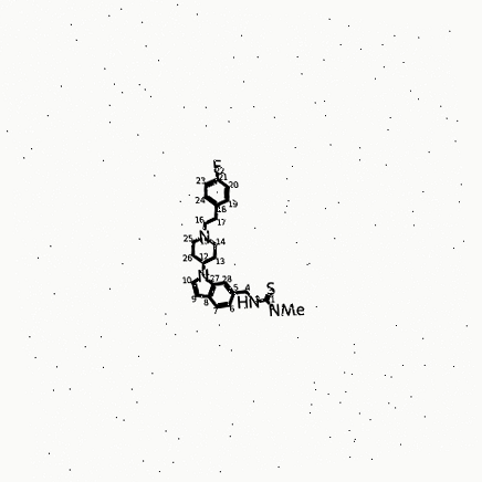 CNC(=S)NCc1ccc2ccn(C3CCN(CCc4ccc(F)cc4)CC3)c2c1